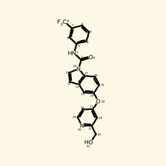 O=C(Nc1cccc(C(F)(F)F)c1)n1ccc2cc(Oc3ccnc(CO)c3)ccc21